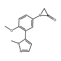 COc1ccc(N2CC2=O)cc1-c1ccnn1C